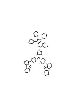 c1ccc(-c2c(-c3ccccc3)n(-c3ccccc3)c3c2cc(-c2ccc(N(c4ccc(-c5cccc6c5oc5ccccc56)cc4)c4ccc(-c5cccc6c5oc5ccccc56)cc4)cc2)c2ccccc23)cc1